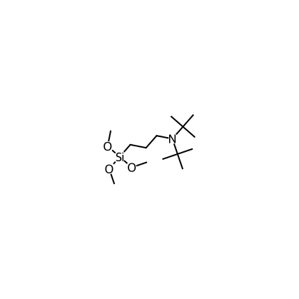 CO[Si](CCCN(C(C)(C)C)C(C)(C)C)(OC)OC